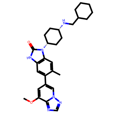 COc1cc(-c2cc3[nH]c(=O)n([C@H]4CC[C@@H](NCC5CCCCC5)CC4)c3cc2C)cn2ncnc12